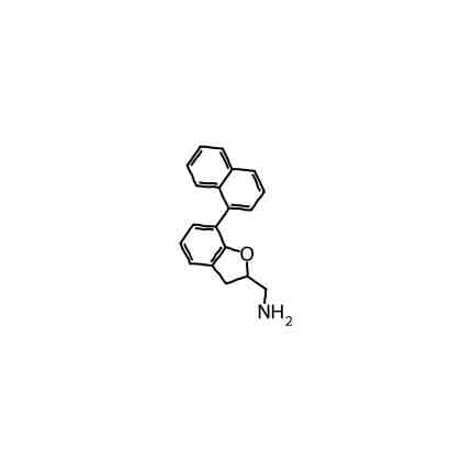 NCC1Cc2cccc(-c3cccc4ccccc34)c2O1